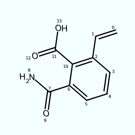 C=Cc1cccc(C(N)=O)c1C(=O)O